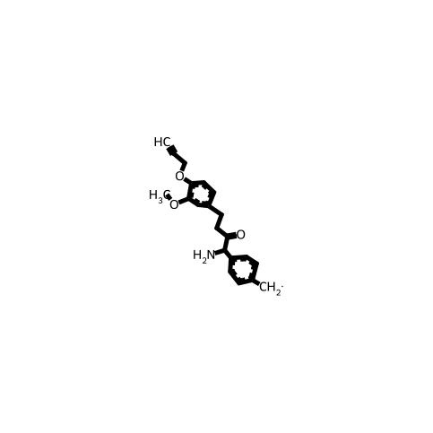 C#CCOc1ccc(CCC(=O)C(N)c2ccc([CH2])cc2)cc1OC